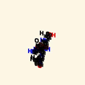 CC(C)c1ccccc1[C@@H]1COCCN1[C@@H]1CC2(CCN(c3ccc(C(=O)NS(=O)(=O)c4ccc(NC[C@H]5CC[C@](C)(O)CC5)c([N+](=O)[O-])c4)c(N4c5cc6cc[nH]c6nc5O[C@H]5COCC[C@@H]54)c3)CC2)C1(C)C